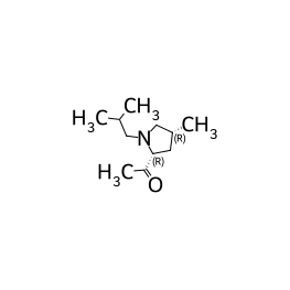 CC(=O)[C@H]1C[C@@H](C)CN1CC(C)C